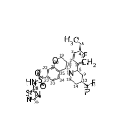 C=C(/C=C\C(F)=C/C)[C@H]1C[C@@H](C(F)F)CCN1[C@H]1CCOc2cc(S(=O)(=O)Nc3ncns3)ccc21